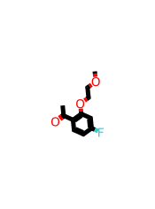 COCCOc1cc(F)ccc1C(C)=O